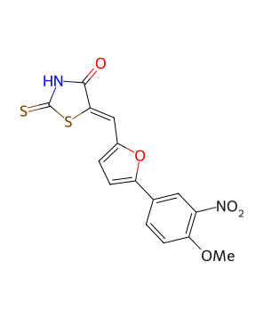 COc1ccc(-c2ccc(/C=C3\SC(=S)NC3=O)o2)cc1[N+](=O)[O-]